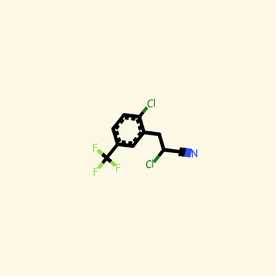 N#CC(Cl)Cc1cc(C(F)(F)F)ccc1Cl